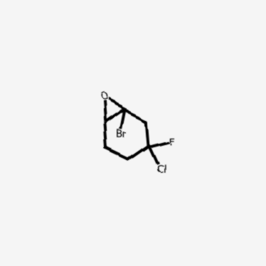 FC1(Cl)CCC2OC2(Br)C1